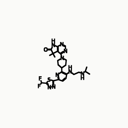 CC(C)NCCNc1ccc(-c2nnc(C(F)F)s2)nc1C1CCN(c2ncnc3c2C(C)(C)C(=O)N3)CC1